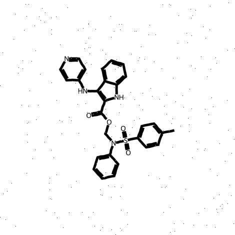 Cc1ccc(S(=O)(=O)N(COC(=O)c2[nH]c3ccccc3c2Nc2ccncc2)c2ccccc2)cc1